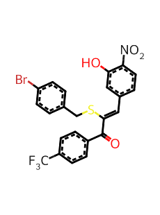 O=C(C(=Cc1ccc([N+](=O)[O-])c(O)c1)SCc1ccc(Br)cc1)c1ccc(C(F)(F)F)cc1